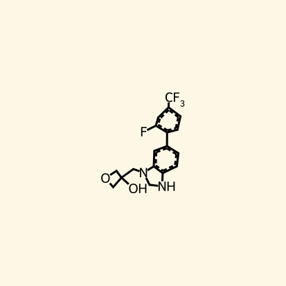 OC1(CN2CNc3ccc(-c4ccc(C(F)(F)F)cc4F)cc32)COC1